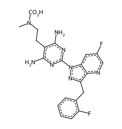 CN(CCc1c(N)nc(-n2nc(Cc3ccccc3F)c3ncc(F)cc32)nc1N)C(=O)O